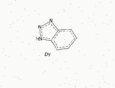 [Dy].c1ccc2[nH]nnc2c1